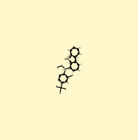 CCN(c1ccc(C(C)(C)C)cc1C)c1cccc2c1[nH]c1ccccc12